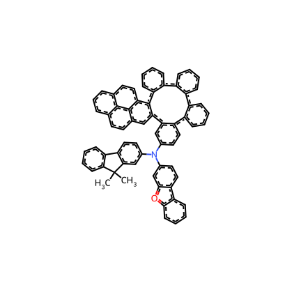 CC1(C)c2ccccc2-c2ccc(N(c3ccc4c(c3)oc3ccccc34)c3ccc4c5ccccc5c5ccccc5c5ccccc5c5c(cc6ccc7cccc8ccc5c6c78)c4c3)cc21